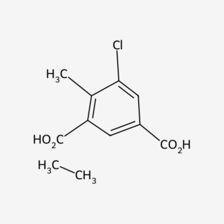 CC.Cc1c(Cl)cc(C(=O)O)cc1C(=O)O